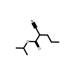 CCCC(C#N)C(=O)OC(C)C